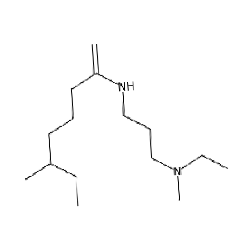 C=C(CCCC(C)CC)NCCCN(C)CC